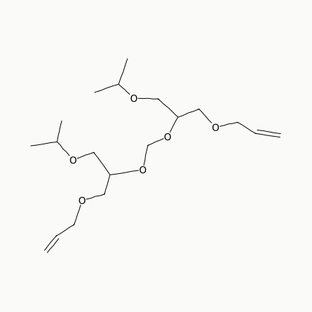 C=CCOCC(COC(C)C)OCOC(COCC=C)COC(C)C